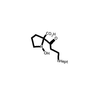 CCCCCCCCCC(=O)C1(C(=O)O)CCCN1O